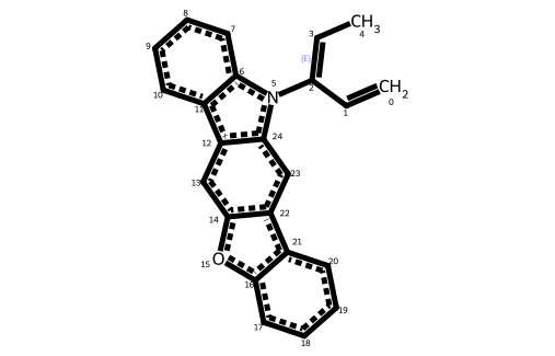 C=C/C(=C\C)n1c2ccccc2c2cc3oc4ccccc4c3cc21